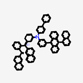 C=C(c1ccc2ccccc2c1)c1ccccc1/C(=C1/C=C(N(c2ccc(-c3ccccc3)cc2)c2cccc(-c3c4ccccc4c(-c4cccc5ccccc45)c4ccccc34)c2)C=CC1)c1ccc2ccccc2c1